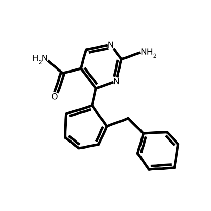 NC(=O)c1cnc(N)nc1-c1ccccc1Cc1ccccc1